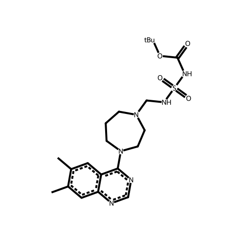 Cc1cc2ncnc(N3CCCN(CNS(=O)(=O)NC(=O)OC(C)(C)C)CC3)c2cc1C